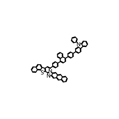 c1ccc(-n2c3ccccc3c3ccc(-c4ccc(-c5ccc(-c6ccc(-c7cc8c9ccc%10ccccc%10c9sc8c8nc9cc%10cc%11ccccc%11cc%10cc9n78)cc6)c6ccccc56)cc4)cc32)cc1